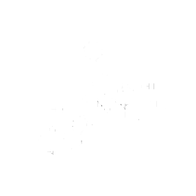 COc1c(Br)ccc2oc(C(=O)NC3(S(=O)(=O)N[C@@H](C(=O)O)C(C)C)C=CC(c4ccccc4)=CC3)c(C)c12